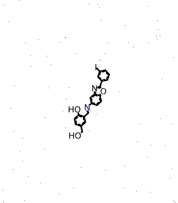 OCc1ccc(O)c(/C=N/c2ccc3oc(-c4cccc(I)c4)nc3c2)c1